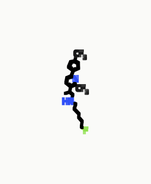 CC(CNCCCCCCF)c1ccc(-c2ccc(C(F)(F)F)cc2)nc1C(F)(F)F